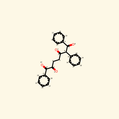 O=C(CCC(=O)C(C(=O)c1ccccc1)c1ccccc1)C(=O)c1ccccc1